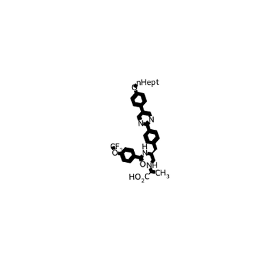 CCCCCCCOc1ccc(-c2cnc(-c3ccc(C[C@@H](CN[C@H](C)C(=O)O)NC(=O)c4ccc(OC(F)(F)F)cc4)cc3)nc2)cc1